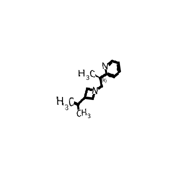 CC(C)C1CN(C[C@@H](C)c2ccccn2)C1